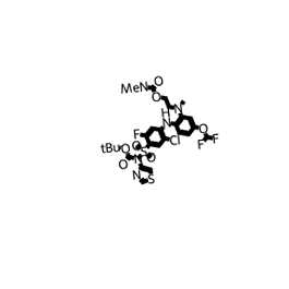 CNC(=O)OCCN(C)c1cc(OC(F)F)ccc1Nc1cc(F)c(S(=O)(=O)N(C(=O)OC(C)(C)C)c2cscn2)cc1Cl